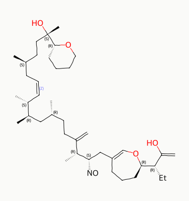 C=C(CC[C@@H](C)C[C@@H](C)[C@H](C)/C=C\C[C@@H](C)CC[C@](C)(O)[C@H]1CCCCO1)[C@@H](C)[C@H](CC1=CO[C@@H]([C@@H](CC)C(=C)O)CCC1)N=O